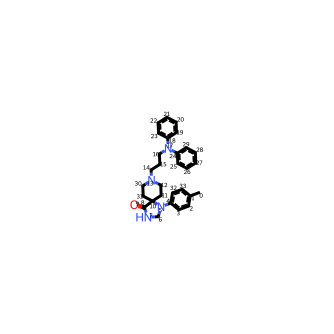 Cc1ccc(N2CNC(=O)C23CCN(CCCN(c2ccccc2)c2ccccc2)CC3)cc1